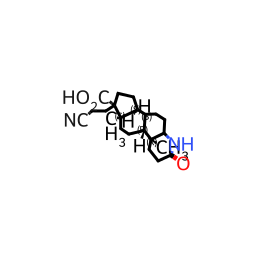 C[C@]12CCC(=O)NC1CC[C@@H]1[C@H]2CC[C@@]2(C)[C@H]1CCC2(CCC#N)C(=O)O